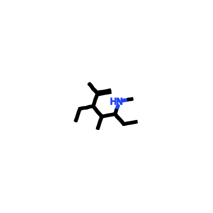 C=C(C)C(CC)C(C)C(CC)NC